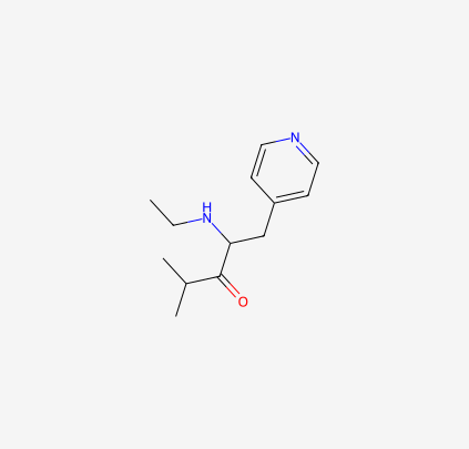 CCNC(Cc1ccncc1)C(=O)C(C)C